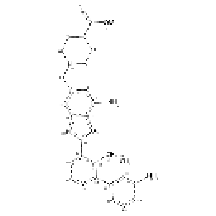 COC(=O)C1CCN(Cc2cc(N)c3oc(-c4cccc(-c5cccc(N)c5C)c4C)nc3c2)CC1